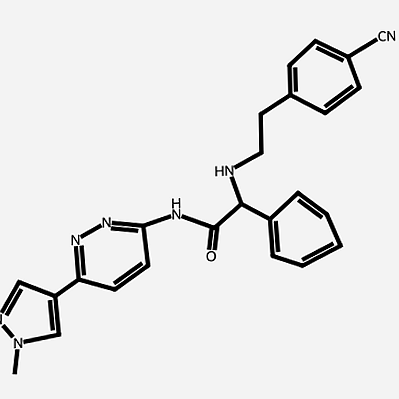 Cn1cc(-c2ccc(NC(=O)C(NCCc3ccc(C#N)cc3)c3ccccc3)nn2)cn1